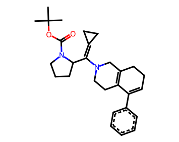 CC(C)(C)OC(=O)N1CCCC1C(=C1CC1)N1CCC2=C(CCC=C2c2ccccc2)C1